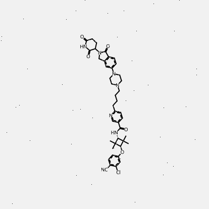 CC1(C)[C@H](NC(=O)c2ccc(CCCCN3CCN(c4ccc5c(c4)CN(C4CCC(=O)NC4=O)C5=O)CC3)nc2)C(C)(C)[C@H]1Oc1ccc(C#N)c(Cl)c1